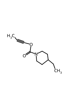 CC#COC(=O)N1CCC(CC)CC1